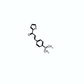 CN(C)c1ccc(/C=C/C(=O)c2cccs2)cc1